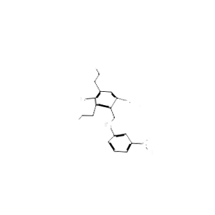 CN(C)c1cccc(NCc2c(N)cc(CCO)c(N)c2CCO)c1